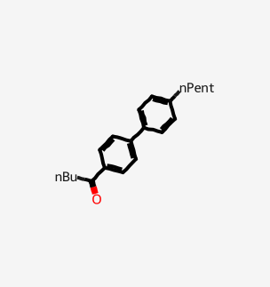 CCCCCc1ccc(-c2ccc(C(=O)CCCC)cc2)cc1